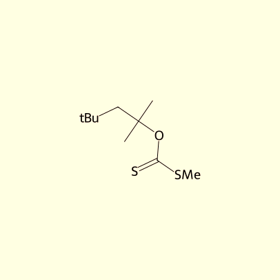 CSC(=S)OC(C)(C)CC(C)(C)C